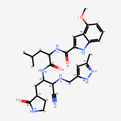 COc1cccc2[nH]c(C(=O)NC(CC(C)C)C(=O)NC(CC3CCNC3=O)C(C#N)NCc3cc(C)n[nH]3)cc12